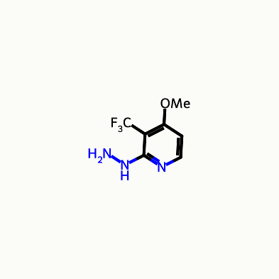 COc1ccnc(NN)c1C(F)(F)F